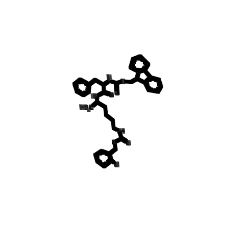 O=C(NCCCCC(NC(=O)C(Cc1ccccc1)NC(=O)OCC1c2ccccc2-c2ccccc21)C(=O)O)OCc1ccccc1Cl